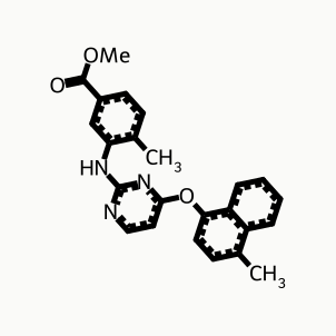 COC(=O)c1ccc(C)c(Nc2nccc(Oc3ccc(C)c4ccccc34)n2)c1